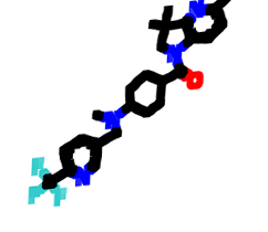 Cc1ccc2c(n1)C(C)(C)CN2C(=O)C1CCC(N(C)Cc2ccc(C(F)(F)F)nc2)CC1